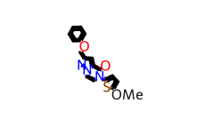 COc1ccc(N2CCn3nc(COc4ccccc4)cc3C2=O)s1